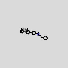 C/C(=C\CC=C1C=CC=CC1)c1ccc(-c2ccc(-c3ccc[nH]3)cc2)cc1